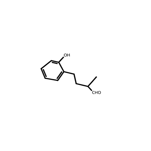 CC(C=O)CCc1ccccc1O